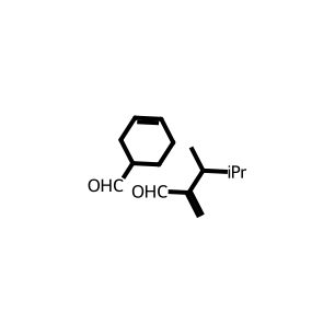 C=C(C=O)C(C)C(C)C.O=CC1CC=CCC1